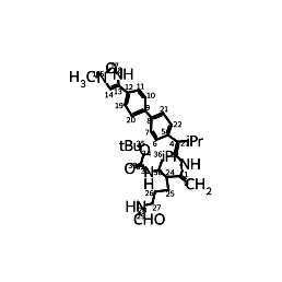 C=C(N/C=C(/c1ccc(-c2ccc(C3=CN(C)ON3)cc2)cc1)C(C)C)C(CCCNC=O)C(NC(=O)OC(C)(C)C)C(C)C